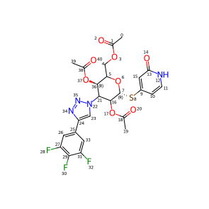 CC(=O)OCC1O[C@H](Sc2cc[nH]c(=O)c2)C(OC(C)=O)C(n2cc(-c3cc(F)c(F)c(F)c3)nn2)[C@H]1OC(C)=O